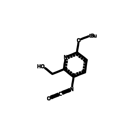 CC(C)(C)Oc1ccc(N=C=O)c(CO)n1